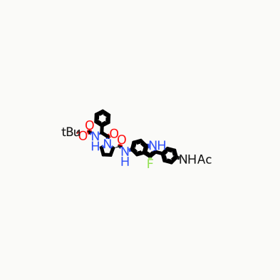 CC(=O)Nc1ccc(-c2[nH]c3ccc(NC(=O)[C@@H]4CCCN4C(=O)[C@@H](NC(=O)OC(C)(C)C)c4ccccc4)cc3c2F)cc1